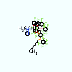 CCCCCCCCP(c1c(F)c(F)c(F)c(F)c1F)c1c(F)c(F)c2c(c1F)C(F)=C(F)C2(F)[B-](c1cc(F)cc(F)c1F)(c1c(F)c(F)c(F)c2c(F)c3c(F)cccc3cc12)C1c2ccccc2-c2c(F)c(F)c(F)c(F)c21.C[NH+](C)c1ccccc1